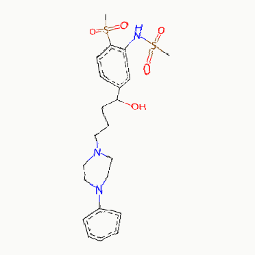 CS(=O)(=O)Nc1cc(C(O)CCCN2CCN(c3ccccc3)CC2)ccc1S(C)(=O)=O